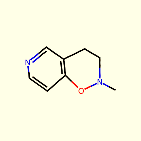 CN1CCc2cnccc2O1